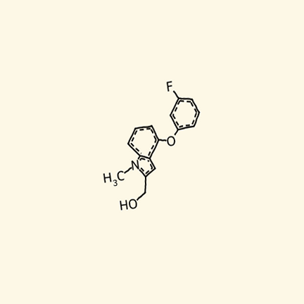 Cn1c(CO)cc2c(Oc3cccc(F)c3)cccc21